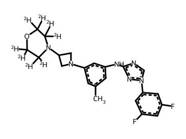 [2H]C1([2H])OC([2H])([2H])C([2H])([2H])N(C2CN(c3cc(C)cc(Nc4ncn(-c5cc(F)cc(F)c5)n4)c3)C2)C1([2H])[2H]